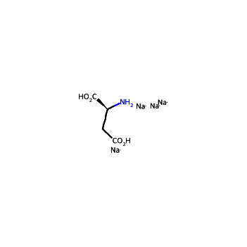 N[C@@H](CC(=O)O)C(=O)O.[Na].[Na].[Na].[Na]